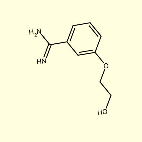 N=C(N)c1cccc(OCCO)c1